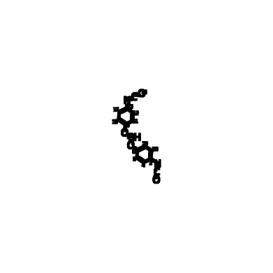 O=C=Nc1ccc(OBOc2ccc(N=C=O)cc2)cc1